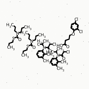 CCCSC(=O)N(CCC)CCC.CCCSC(=O)N(CCC)CCC.Cc1cccc(N(C(=O)CCl)C(C)C)c1C.Cc1cccc(N(C(=O)CCl)C(C)C)c1C.O=C(O)CCCOc1ccc(Cl)cc1Cl